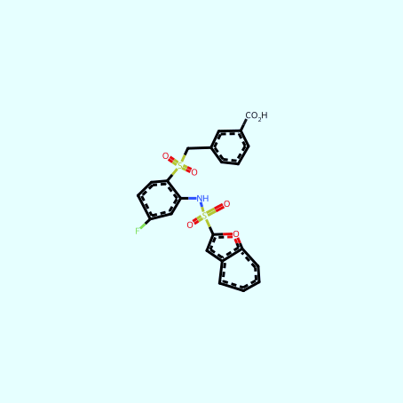 O=C(O)c1cccc(CS(=O)(=O)c2ccc(F)cc2NS(=O)(=O)c2cc3ccccc3o2)c1